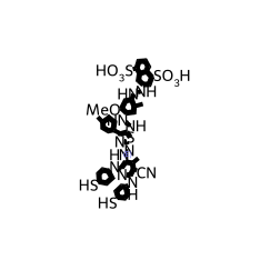 COc1cc(NNc2cc(S(=O)(=O)O)c3cccc(S(=O)(=O)O)c3c2)c(C)cc1NNc1sc(/N=N/c2c(Nc3ccc(S)cc3)nc(Nc3ccc(S)cc3)c(C#N)c2C)nc1-c1ccc(C)cc1